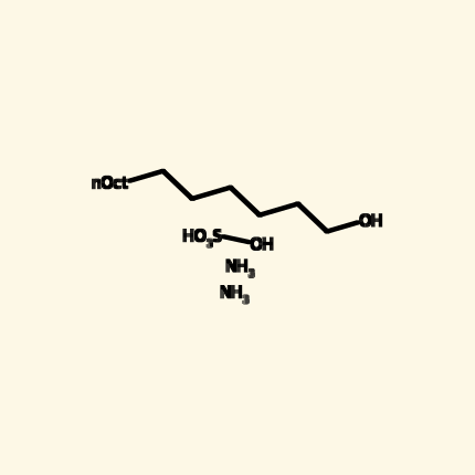 CCCCCCCCCCCCCCO.N.N.O=S(=O)(O)O